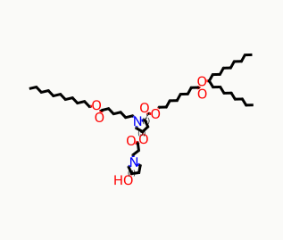 CCCCCCCCCCCOC(=O)CCCCCN1C[C@@H](OC(=O)CCN2CC[C@@H](O)C2)C[C@H]1C(=O)OCCCCCCCC(=O)OC(CCCCCCCC)CCCCCCCC